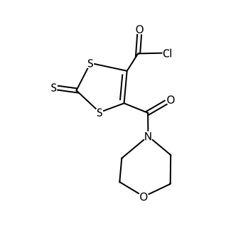 O=C(Cl)c1sc(=S)sc1C(=O)N1CCOCC1